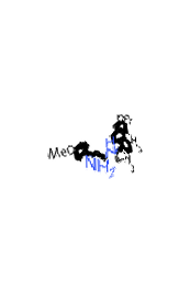 CCCc1ccc2c(c1)CCC1C(C(C)NCCC(N)c3ccc(OC)cc3)CCCC21C